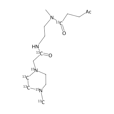 C[13C](=O)CC[13C](=O)N(C)CCN[13C](=O)C[15N]1CC[15N]([13CH3])[13CH2][13CH2]1